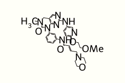 COCCOc1ccc(Nc2ncc3c(n2)N(c2cccc(NC(=O)/C=C/CN4CCOCC4)c2)C(=O)N(C)C3)cn1